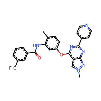 Cc1ccc(Oc2nc(-c3ccncc3)nc3nn(C)cc23)cc1NC(=O)c1cccc(C(F)(F)F)c1